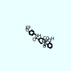 O=C(Nc1ccc(OC(F)(F)F)cc1)[C@@H]1CCN(S(=O)(=O)c2ccccc2Cl)[C@@H](C(=O)O)C1